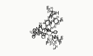 C=C[C@H]1CC(F)(F)c2c1c(C(F)F)nn2CC(=O)N[C@@H](Cc1cc(F)cc(F)c1)c1nc(C#CC(C)(O)CF)ccc1-c1ccc(Cl)c2c(NS(C)(=O)=O)nn(C)c12